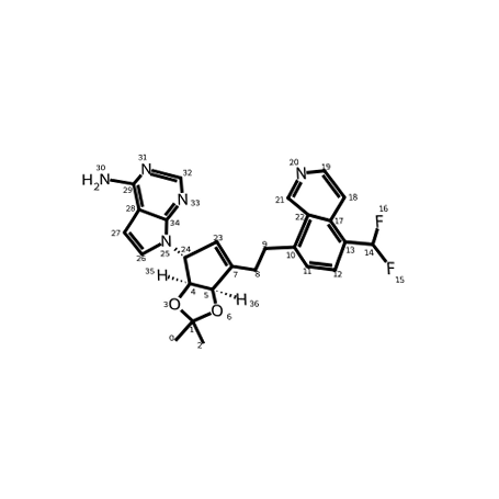 CC1(C)O[C@@H]2[C@H](O1)C(CCc1ccc(C(F)F)c3ccncc13)=C[C@H]2n1ccc2c(N)ncnc21